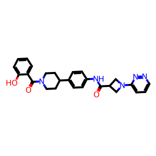 O=C(Nc1ccc(C2CCN(C(=O)c3ccccc3O)CC2)cc1)C1CN(c2cccnn2)C1